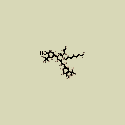 CCCCCCCCN(C(=O)CCC)C(CCc1ccc(O)c(C(C)(C)C)c1)CCc1ccc(O)c(C(C)(C)C)c1